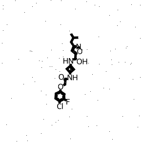 CC(C)Cc1cc(C(O)NC23CC(NC(=O)COc4ccc(Cl)c(F)c4)(C2)C3)on1